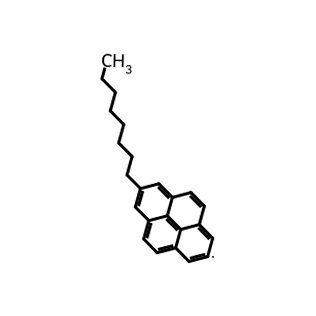 CCCCCCCCc1cc2ccc3c[c]cc4ccc(c1)c2c34